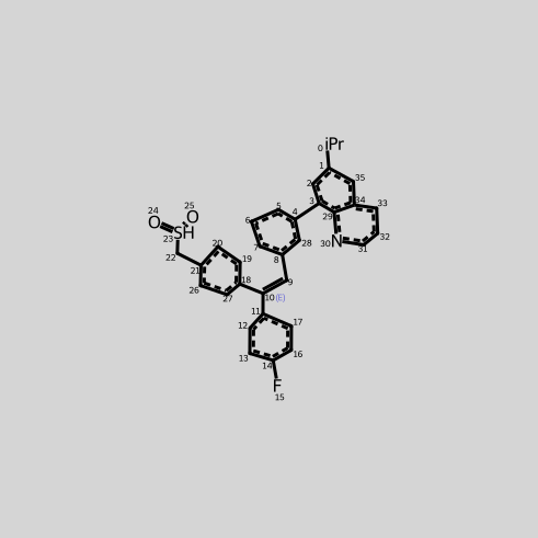 CC(C)c1cc(-c2cccc(/C=C(/c3ccc(F)cc3)c3ccc(C[SH](=O)=O)cc3)c2)c2ncccc2c1